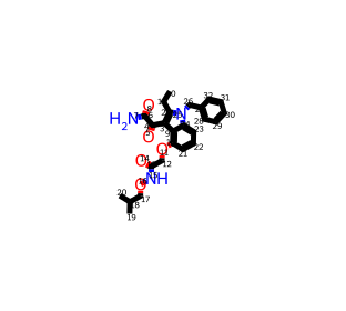 CCc1c(C(=O)C(N)=O)c2c(OCC(=O)NOCC(C)C)cccc2n1Cc1ccccc1